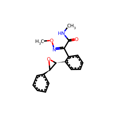 CNC(=O)C(=NOC)c1ccccc1[C@H]1O[C@@H]1c1ccccc1